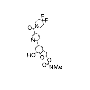 CNC(=O)Oc1cc2cc(-c3ccc(C(=O)N4CCC(F)(F)CC4)cn3)cc(O)c2o1